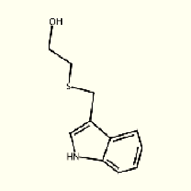 OCCSCc1c[nH]c2ccccc12